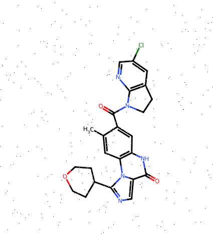 Cc1cc2c(cc1C(=O)N1CCc3cc(Cl)cnc31)[nH]c(=O)c1cnc(C3CCOCC3)n12